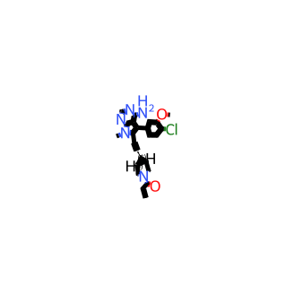 C=CC(=O)N1C[C@@H]2[C@@H](C#Cc3c(-c4ccc(Cl)c(OC)c4)c4c(N)ncnc4n3C)[C@@H]2C1